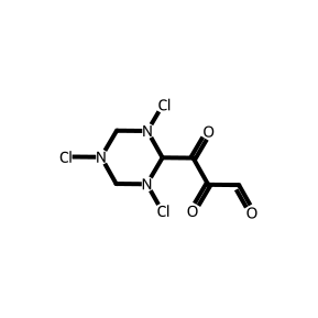 O=CC(=O)C(=O)C1N(Cl)CN(Cl)CN1Cl